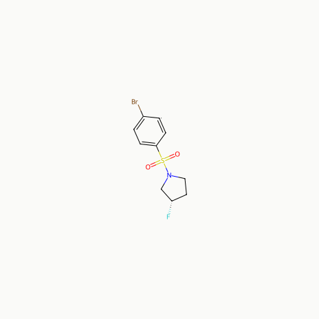 O=S(=O)(c1c[c]c(Br)cc1)N1CC[C@H](F)C1